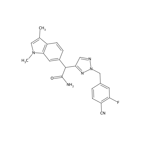 Cc1cn(C)c2cc(C(C(N)=O)c3cnn(Cc4ccc(C#N)c(F)c4)n3)ccc12